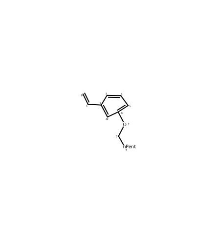 C=Cc1cccc(OCCCCCC)c1